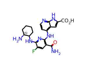 NC(=O)c1cc(F)c(NC2CCCC[C@@H]2N)nc1Nc1ccnc2[nH]c(C(=O)O)cc12